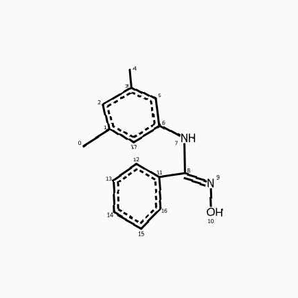 Cc1cc(C)cc(N/C(=N/O)c2ccccc2)c1